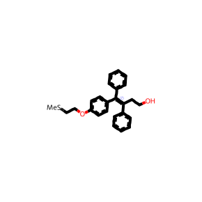 CSCCOc1ccc(/C(=C(/CCO)c2ccccc2)c2ccccc2)cc1